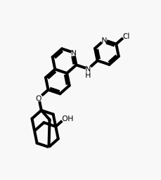 OC12CC3CC(C1)CC(Oc1ccc4c(Nc5ccc(Cl)nc5)nccc4c1)(C3)C2